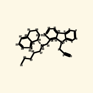 C#CCn1c2ccccc2c2ccnc(CN(CCCCC)[C@H]3CCCc4cccnc43)c21